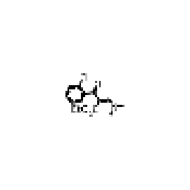 CCOC(=O)/C(=C\N(C)C)C(=O)c1ccccc1Cl